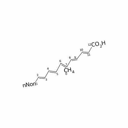 C.CCCCCCCCCC=CC=CC=CC=CC=CC(=O)O